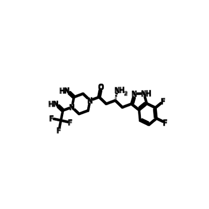 N=C1CN(C(=O)C[C@H](N)Cc2n[nH]c3c(F)c(F)ccc23)CCN1C(=N)C(F)(F)F